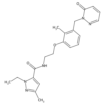 CCn1nc(C)cc1C(=O)NCCOc1cccc(Cn2ncccc2=O)c1C